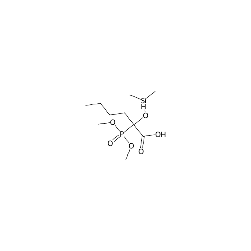 CCCCC(O[SiH](C)C)(C(=O)O)P(=O)(OC)OC